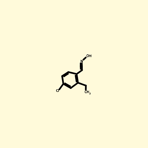 CCc1cc(Cl)ccc1/C=N/O